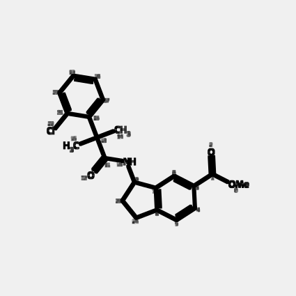 COC(=O)c1ccc2c(c1)C(NC(=O)C(C)(C)c1ccccc1Cl)CC2